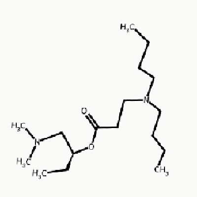 CCCCN(CCCC)CCC(=O)O[C@@H](CC)CN(C)C